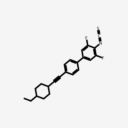 CCC1CCC(C#Cc2ccc(-c3cc(F)c(N=C=S)c(F)c3)cc2)CC1